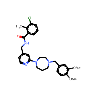 COc1ccc(CN2CCCN(c3cc(CNC(=O)c4cccc(Cl)c4C)ccn3)CC2)cc1OC